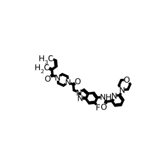 C=C(/C=C\C)C(=O)N1CCN(C(=O)Cn2cc3cc(NC(=O)c4cccc(N5CCOCC5)n4)c(F)cc3n2)CC1